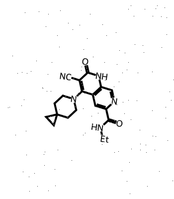 CCNC(=O)c1cc2c(N3CCC4(CC3)CC4)c(C#N)c(=O)[nH]c2cn1